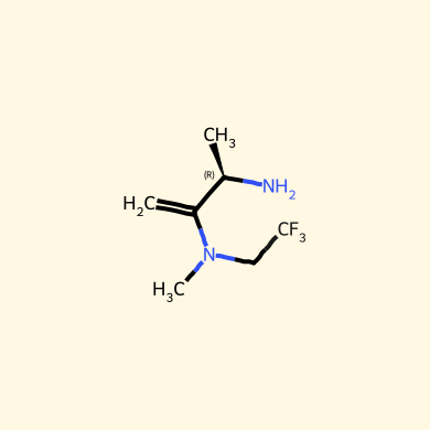 C=C([C@@H](C)N)N(C)CC(F)(F)F